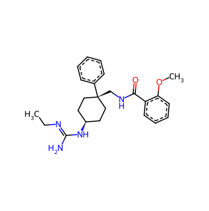 CCN=C(N)N[C@H]1CC[C@](CNC(=O)c2ccccc2OC)(c2ccccc2)CC1